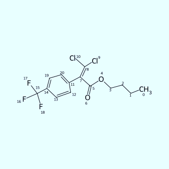 CCCCOC(=O)C(=C(Cl)Cl)c1ccc(C(F)(F)F)cc1